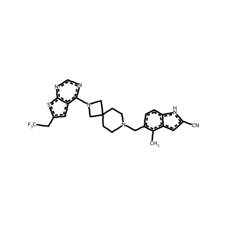 Cc1c(CN2CCC3(CC2)CN(c2ncnc4sc(CC(F)(F)F)cc24)C3)ccc2[nH]c(C#N)cc12